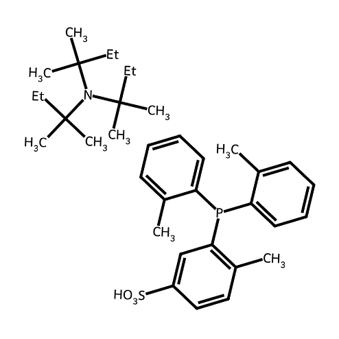 CCC(C)(C)N(C(C)(C)CC)C(C)(C)CC.Cc1ccccc1P(c1ccccc1C)c1cc(S(=O)(=O)O)ccc1C